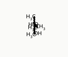 CCCCCCCCNC(CCCCCCCC(C)O)C(=O)N(C)C